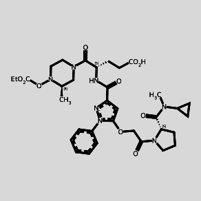 CCOC(=O)ON1CCN(C(=O)[C@H](CCC(=O)O)NC(=O)c2cc(OCC(=O)N3CCC[C@H]3C(=O)N(C)C3CC3)n(-c3ccccc3)n2)C[C@H]1C